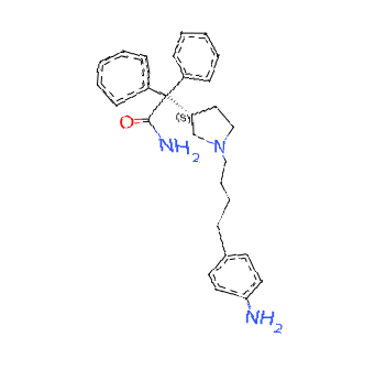 NC(=O)C(c1ccccc1)(c1ccccc1)[C@@H]1CCN(CCCCc2ccc(N)cc2)C1